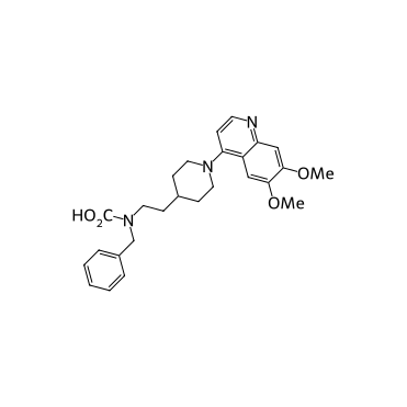 COc1cc2nccc(N3CCC(CCN(Cc4ccccc4)C(=O)O)CC3)c2cc1OC